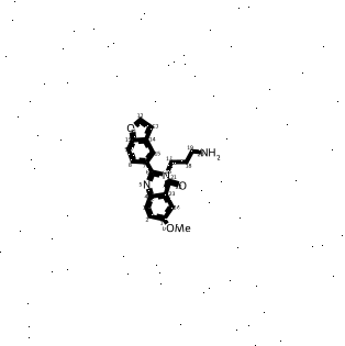 COc1ccc2nc(-c3ccc4occc4c3)n(CCCN)c(=O)c2c1